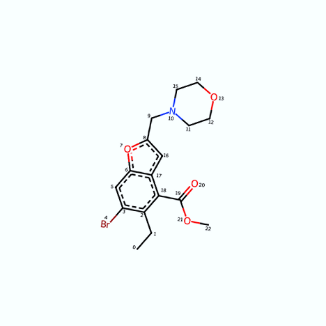 CCc1c(Br)cc2oc(CN3CCOCC3)cc2c1C(=O)OC